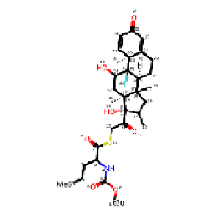 CSCCC(NC(=O)OC(C)(C)C)C(=O)SCC(=O)[C@@]1(O)C(C)C[C@H]2[C@@H]3CCC4=CC(=O)C=C[C@]4(C)[C@@]3(F)C(O)C[C@@]21C